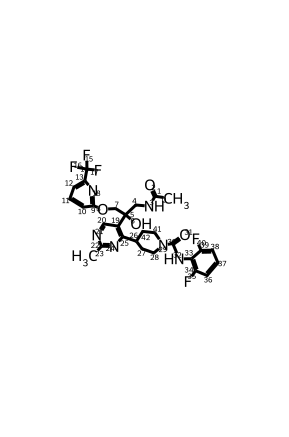 CC(=O)NCC(O)(COc1cccc(C(F)(F)F)n1)c1cnc(C)nc1C1CCN(C(=O)Nc2c(F)cccc2F)CC1